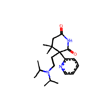 CC(C)N(CCC1(c2ccccn2)C(=O)NC(=O)CC1(C)C)C(C)C